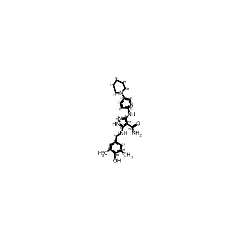 Cc1cc(CNc2[nH]nc(Nc3ccc(N4CCCCC4)cn3)c2C(N)=O)cc(C)c1O